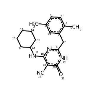 Cc1ccc(C)c(Cc2nc(NC3CCCCC3)c(C#N)c(=O)[nH]2)c1